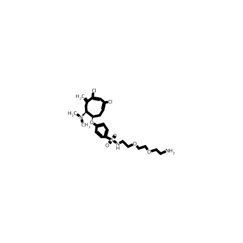 C=C1C[C@H](N(C)C)[C@@H](Oc2ccc(S(=O)(=O)NCCOCCOCCN)cc2)C/C=C(Cl)\C=C/1Cl